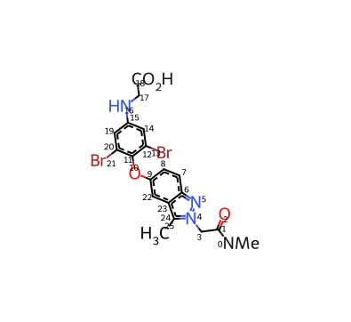 CNC(=O)Cn1nc2ccc(Oc3c(Br)cc(NCC(=O)O)cc3Br)cc2c1C